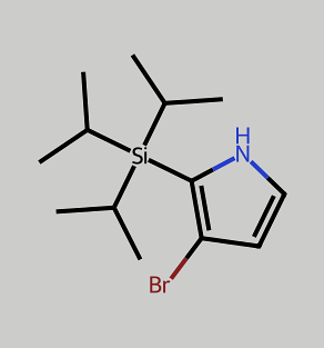 CC(C)[Si](c1[nH]ccc1Br)(C(C)C)C(C)C